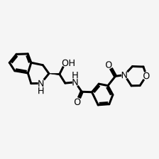 O=C(NCC(O)[C@@H]1Cc2ccccc2CN1)c1cccc(C(=O)N2CCOCC2)c1